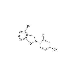 N#Cc1ccc(C2Cc3c(Br)cccc3O2)c(F)c1